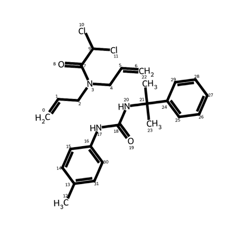 C=CCN(CC=C)C(=O)C(Cl)Cl.Cc1ccc(NC(=O)NC(C)(C)c2ccccc2)cc1